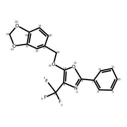 FC(F)(F)c1nc(-c2ccccc2)oc1OCc1ccc2c(c1)OCO2